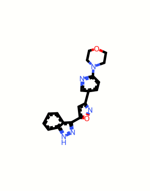 c1ccc2c(-c3cc(-c4ccc(N5CCOCC5)nc4)no3)n[nH]c2c1